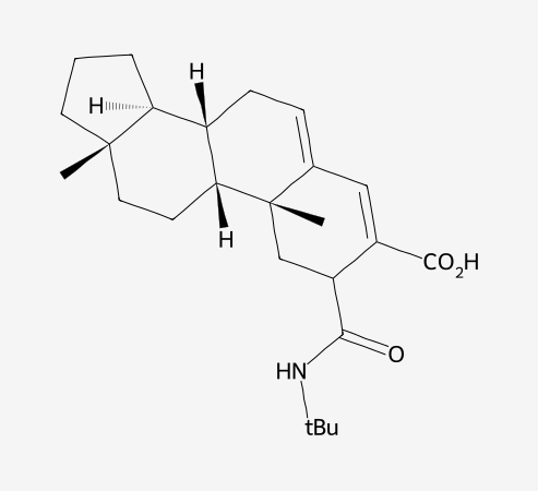 CC(C)(C)NC(=O)C1C[C@@]2(C)C(=CC[C@@H]3[C@H]2CC[C@]2(C)CCC[C@@H]32)C=C1C(=O)O